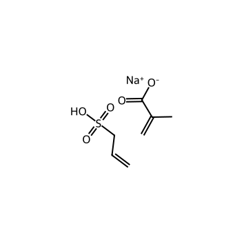 C=C(C)C(=O)[O-].C=CCS(=O)(=O)O.[Na+]